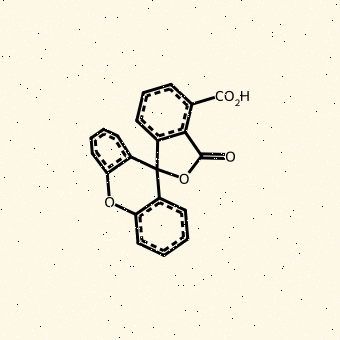 O=C(O)c1cccc2c1C(=O)OC21c2ccccc2Oc2ccccc21